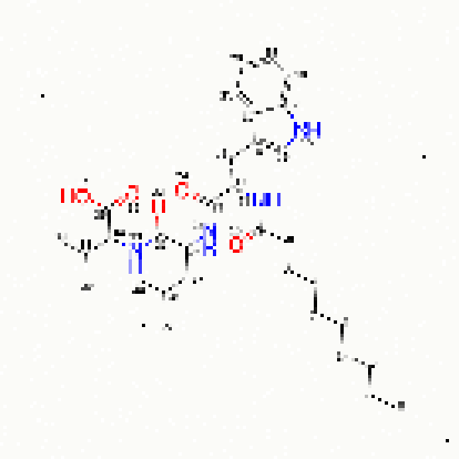 CCCCCCCCCC(=O)NC(Cc1c[nH]c2ccccc12)C(=O)NC(CC(C)C)C(=O)NC(C(=O)O)C(C)C